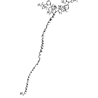 C=C=C=C=C=C=C=C=C=C=C=C=C=C=C=C=C=C=C=C=C=C=C=C=C=C=C=C=C=C=C=C=C=C=C=C(C(=O)NC(C)(C)c1cccc(C(=C)C)c1)C(=O)NC(C)(C)c1cccc(C(=C)C)c1